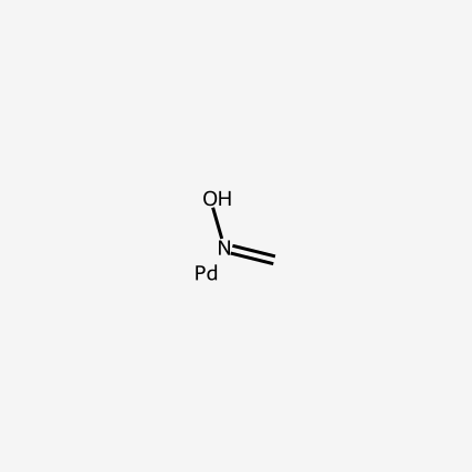 C=NO.[Pd]